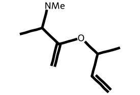 C=CC(C)OC(=C)C(C)NC